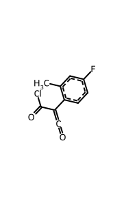 Cc1cc(F)ccc1C(=C=O)C(=O)Cl